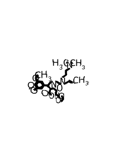 CCCCN(CCCCN(C)C)C(=O)CN1CC(c2cc(OC)c3c(c2)OCO3)C(C(=O)O)C1CCC1OC=CO1